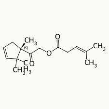 CC(C)=CCC(=O)OCC(=O)[C@@]1(C)CC=CC1(C)C